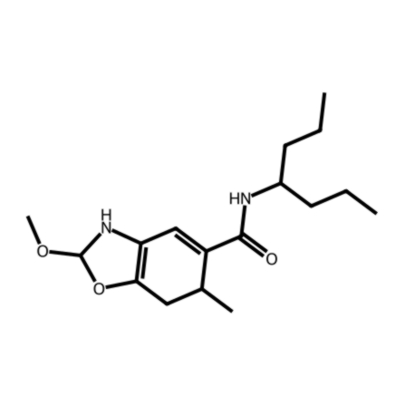 CCCC(CCC)NC(=O)C1=CC2=C(CC1C)OC(OC)N2